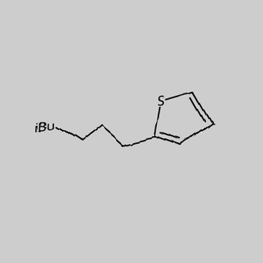 CCC(C)CCCc1cccs1